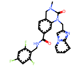 CN1Cc2ccc(C(=O)NCc3c(F)cc(F)cc3F)cc2N(Cc2cn3ccccc3n2)C1=O